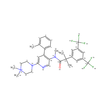 Cc1ccccc1-c1cc(N2CC[N+](C)(C)CC2)ncc1N(C)C(=O)C(C)(C)c1cc(C(F)(F)F)cc(C(F)(F)F)c1